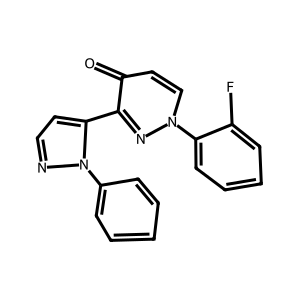 O=c1ccn(-c2ccccc2F)nc1-c1ccnn1-c1ccccc1